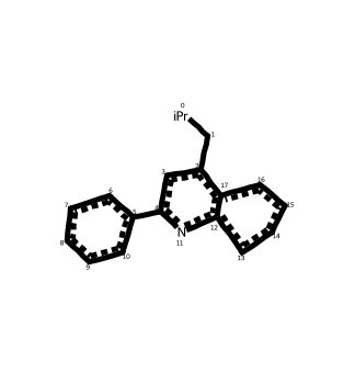 CC(C)Cc1cc(-c2ccccc2)nc2ccccc12